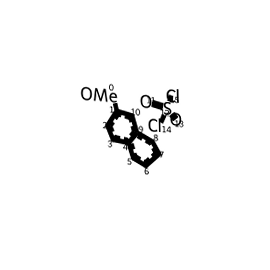 COc1ccc2ccccc2c1.O=S(=O)(Cl)Cl